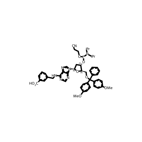 COc1ccc(C(OC[C@H]2O[C@@H](n3cnc4c(NCc5cccc(C(=O)O)c5)ncnc43)C[C@@H]2OP(OCCC#N)N(C(C)C)C(C)C)(c2ccccc2)c2ccc(OC)cc2)cc1